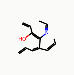 C=C/C=C(/C=C\C)C(\N=C/C)=C(/O)C=C